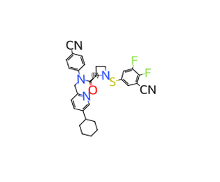 N#Cc1ccc(N(Cc2ccc(C3CCCCC3)cn2)C(=O)[C@H]2CCN2Sc2cc(F)c(F)c(C#N)c2)cc1